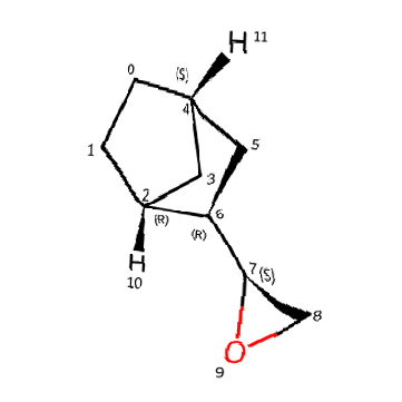 C1C[C@@H]2C[C@H]1C[C@H]2[C@H]1CO1